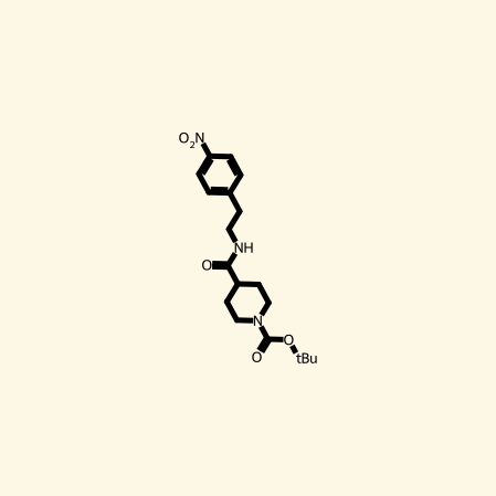 CC(C)(C)OC(=O)N1CCC(C(=O)NCCc2ccc([N+](=O)[O-])cc2)CC1